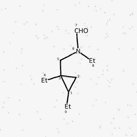 CCC1CC1(CC)CN(C=O)CC